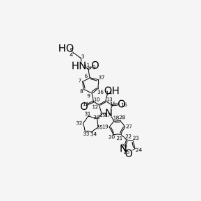 O=C(NCCO)c1ccc(C(=O)C2=C(O)C(=O)N(c3ccc(-c4ccon4)cc3)C2C2CCCCC2)cc1